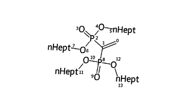 C=C(P(=O)(OCCCCCCC)OCCCCCCC)P(=O)(OCCCCCCC)OCCCCCCC